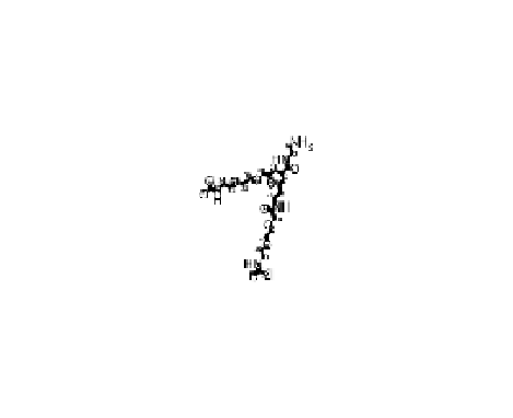 NCCNC(=O)C(CCCCNC(=O)COCCOCCNC(=O)Cl)CC(=O)COCCOCCNC(=O)Cl